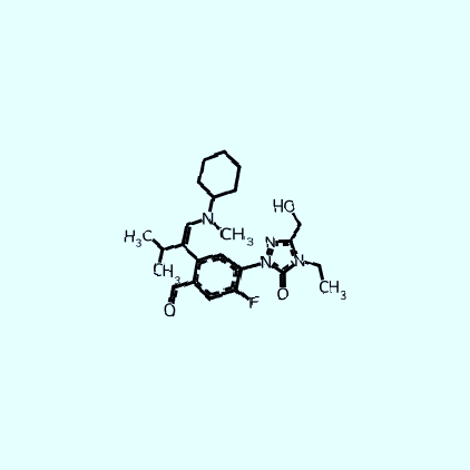 CCn1c(CO)nn(-c2cc(/C(=C\N(C)C3CCCCC3)C(C)C)c(C=O)cc2F)c1=O